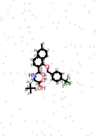 Cc1ccc2c(OCc3ccc(C(F)(F)F)cc3)c(C(=O)N[C@@H](CC(C)(C)C)C(=O)O)ccc2c1